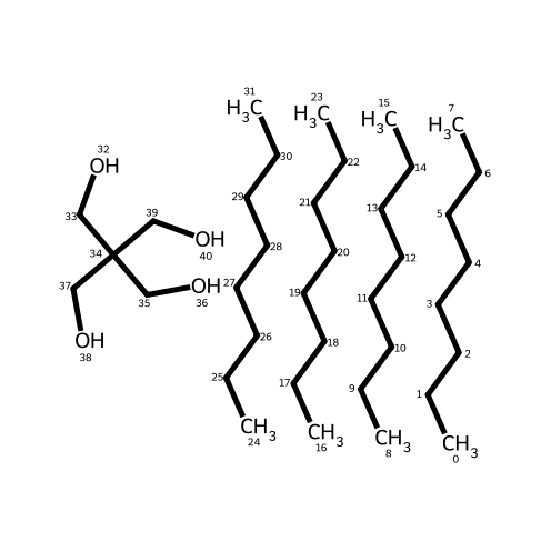 CCCCCCCC.CCCCCCCC.CCCCCCCC.CCCCCCCC.OCC(CO)(CO)CO